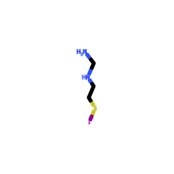 NCNCCSI